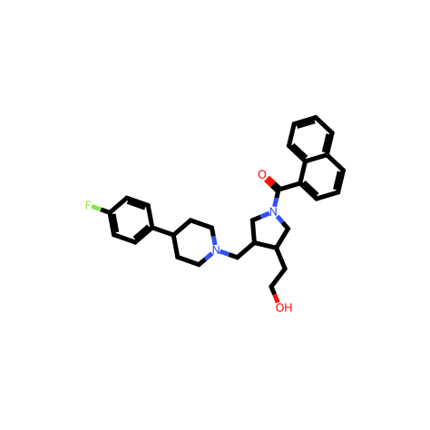 O=C(c1cccc2ccccc12)N1CC(CCO)C(CN2CCC(c3ccc(F)cc3)CC2)C1